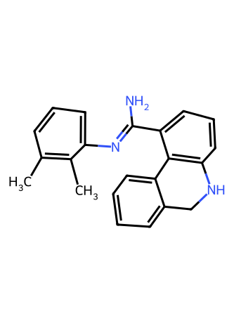 Cc1cccc(N=C(N)c2cccc3c2-c2ccccc2CN3)c1C